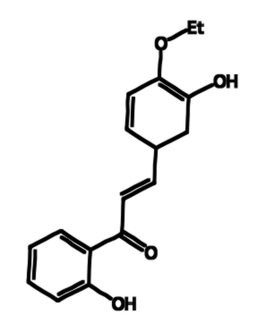 CCOC1=C(O)CC(C=CC(=O)c2ccccc2O)C=C1